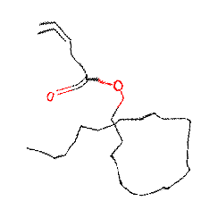 C=CC(=O)OC1(CCC)CCCCCC1